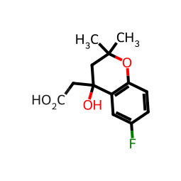 CC1(C)CC(O)(CC(=O)O)c2cc(F)ccc2O1